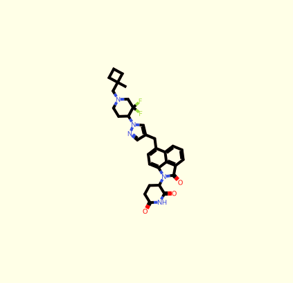 CC1(CN2CCC(n3cc(Cc4ccc5c6c(cccc46)C(=O)N5C4CCC(=O)NC4=O)cn3)C(F)(F)C2)CCC1